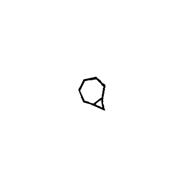 C1CCC2CC2CC1